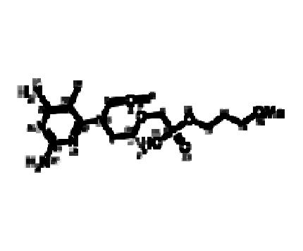 C=C=CN(C[C@@H](C)OCP(=O)(O)OCCCOC)c1nc(N)nc(N)c1C